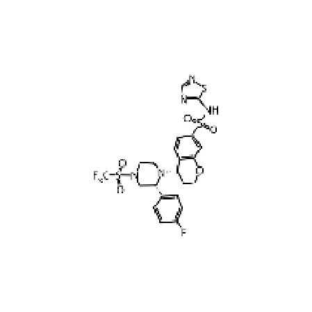 O=S(=O)(Nc1ncns1)c1ccc2c(c1)OCC[C@@H]2N1CCN(S(=O)(=O)C(F)(F)F)C[C@H]1c1ccc(F)cc1